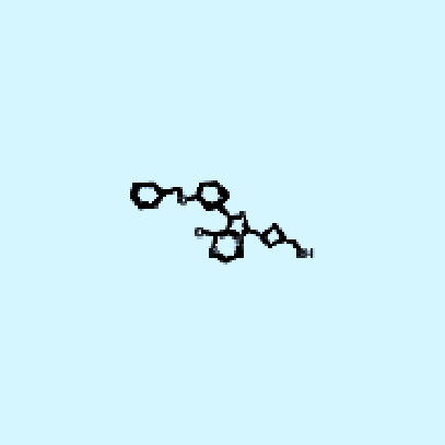 OC[C@H]1C[C@@H](c2nc(-c3cccc(OCc4ccccc4)c3)c3c(Cl)nccn32)C1